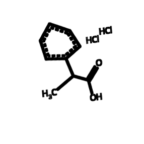 CC(C(=O)O)c1ccccc1.Cl.Cl